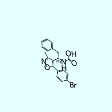 Cc1noc(-c2ccc(Br)cc2)c1[C@@H](Cc1ccccc1)NC(=O)O